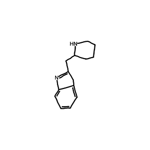 c1ccc2c(c1)CC(CC1CCCCN1)=N2